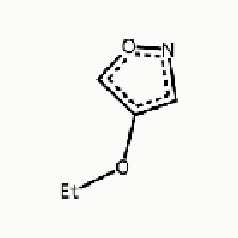 CCOc1cnoc1